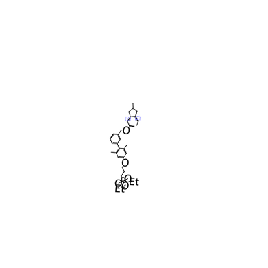 C=C(/C=C1/CC(C)C/C1=C/C)OCc1cccc(-c2c(C)cc(OCCCP(=O)(OCC)OCC)cc2C)c1